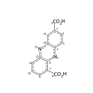 O=C(O)c1ccc2nc3c(C(=O)O)cccc3nc2c1